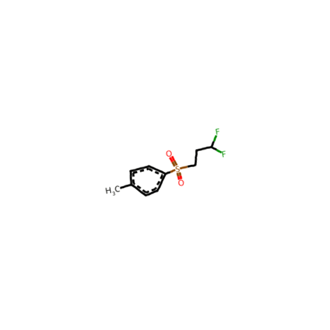 Cc1ccc(S(=O)(=O)CCC(F)F)cc1